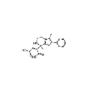 Cc1c(-c2ccccc2)cc2n1CCNC2(C)C(=CC(=O)O)C(=O)O